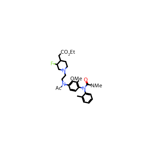 CCOC(=O)CC1CCN(CCN(C(C)=O)c2ccc(N(C(=O)NC)c3ccccc3C)c(OC)c2)CC1F